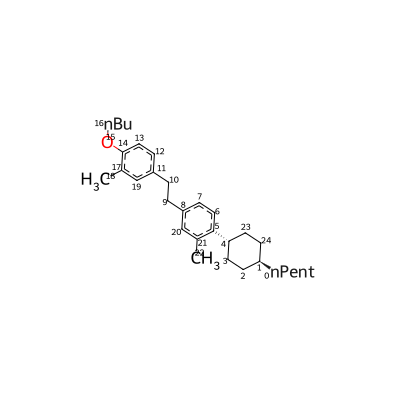 CCCCC[C@H]1CC[C@H](c2ccc(CCc3ccc(OCCCC)c(C)c3)cc2C)CC1